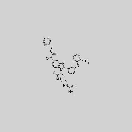 Cc1ccccc1Oc1cccc(-c2nc3cc(C(=O)NCCc4ccccn4)ccc3n2C(CCCNC(=N)N)C(N)=O)c1